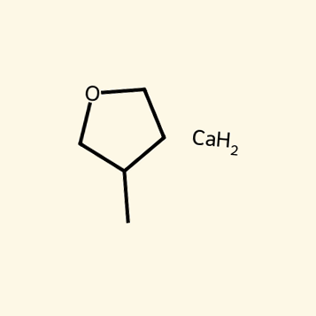 CC1CCOC1.[CaH2]